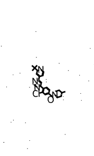 CC1CCN(C(=O)c2ccc(-c3cc(-c4ccnc(C(C)(C)C)c4)ncn3)c(Cl)c2)CC1